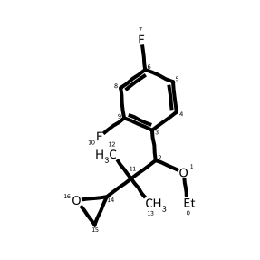 CCOC(c1ccc(F)cc1F)C(C)(C)C1CO1